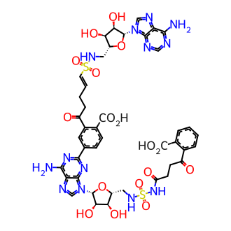 Nc1ncnc2c1ncn2[C@@H]1O[C@H](CNS(=O)(=O)/C=C/CCC(=O)c2cc(-c3nc(N)c4ncn([C@@H]5O[C@H](CNS(=O)(=O)NC(=O)CCC(=O)c6ccccc6C(=O)O)[C@@H](O)[C@H]5O)c4n3)ccc2C(=O)O)[C@@H](O)[C@H]1O